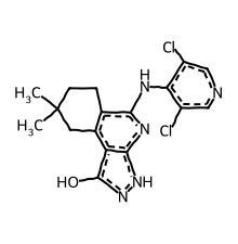 CC1(C)CCc2c(Nc3c(Cl)cncc3Cl)nc3[nH]nc(O)c3c2C1